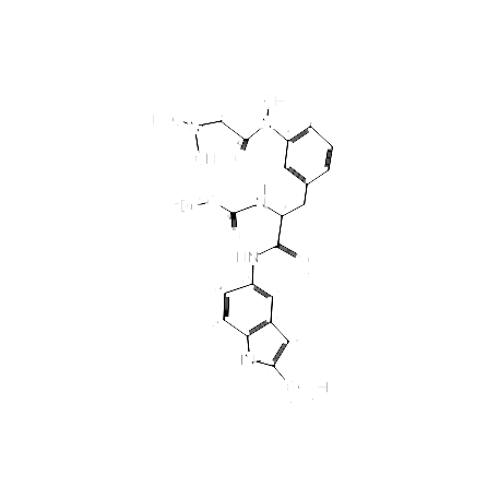 CN(C)CC(=O)N(C)c1cccc(CC(NC(=O)OC(C)(C)C)C(=O)Nc2ccc3[nH]c(C(=O)O)cc3c2)c1